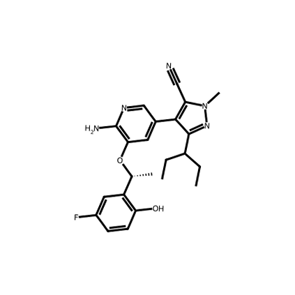 CCC(CC)c1nn(C)c(C#N)c1-c1cnc(N)c(O[C@H](C)c2cc(F)ccc2O)c1